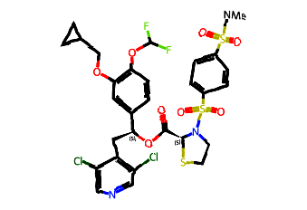 CNS(=O)(=O)c1ccc(S(=O)(=O)N2CCS[C@H]2C(=O)O[C@@H](Cc2c(Cl)cncc2Cl)c2ccc(OC(F)F)c(OCC3CC3)c2)cc1